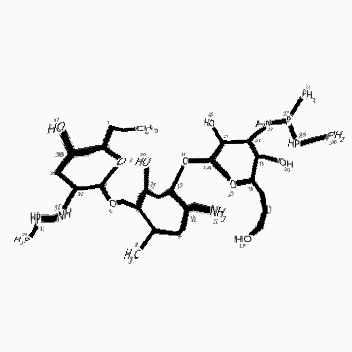 CCC1OC(OC2C(C)CC(N)C(OC3OC(CO)C(O)C(NP(P)PP)C3O)C2O)C(NPP)CC1O